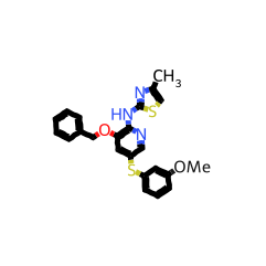 COc1cccc(Sc2cnc(Nc3nc(C)cs3)c(OCc3ccccc3)c2)c1